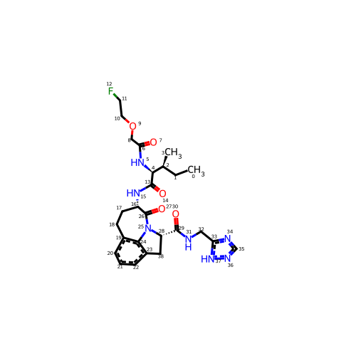 CC[C@H](C)[C@H](NC(=O)COCCF)C(=O)N[C@H]1CCc2cccc3c2N(C1=O)[C@H](C(=O)NCc1ncn[nH]1)C3